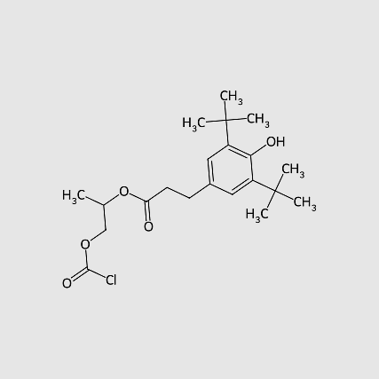 CC(COC(=O)Cl)OC(=O)CCc1cc(C(C)(C)C)c(O)c(C(C)(C)C)c1